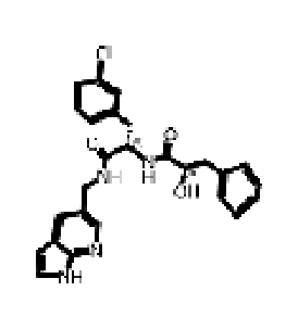 O=C(N[C@@H](Cc1cccc(Cl)c1)C(=O)NCc1cnc2[nH]ccc2c1)[C@H](O)Cc1ccccc1